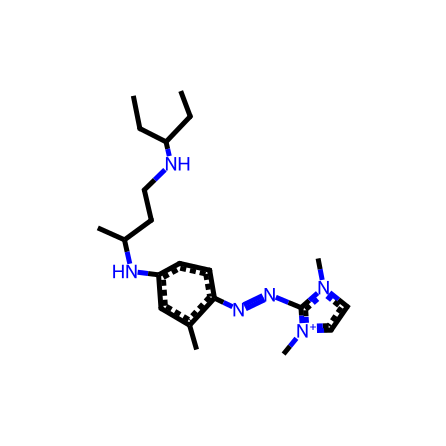 CCC(CC)NCCC(C)Nc1ccc(N=Nc2n(C)cc[n+]2C)c(C)c1